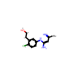 CC(C)(C)C(=N)/C=C(/N)Nc1ccc(Cl)c(CCO)c1